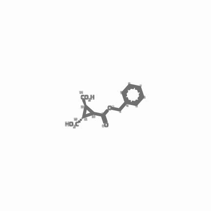 O=C(OCc1ccccc1)C1[C@H](C(=O)O)[C@H]1C(=O)O